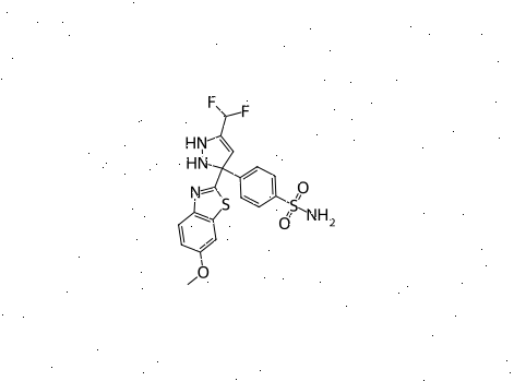 COc1ccc2nc(C3(c4ccc(S(N)(=O)=O)cc4)C=C(C(F)F)NN3)sc2c1